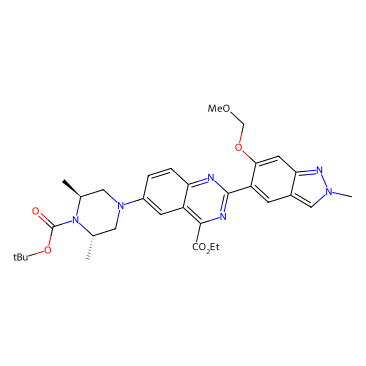 CCOC(=O)c1nc(-c2cc3cn(C)nc3cc2OCOC)nc2ccc(N3C[C@H](C)N(C(=O)OC(C)(C)C)[C@@H](C)C3)cc12